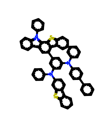 c1ccc(-c2ccc(N(c3ccccc3)c3cc(-c4cc5c6ccccc6n(-c6ccccc6)c5c5sc6ccccc6c45)cc(N(c4ccccc4)c4ccc5c(c4)sc4ccccc45)c3)cc2)cc1